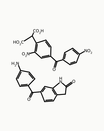 Nc1ccc(C(=O)c2ccc3c(c2)NC(=O)C3)cc1.O=C(c1ccc([N+](=O)[O-])cc1)c1ccc(C(C(=O)O)C(=O)O)c([N+](=O)[O-])c1